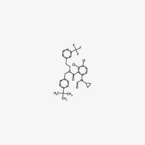 CC(C)(C)c1ccc(CN(CCc2cccc(C(F)(F)F)c2)C(=O)c2c(N(C=O)C3CC3)ccc(Cl)c2Cl)cc1